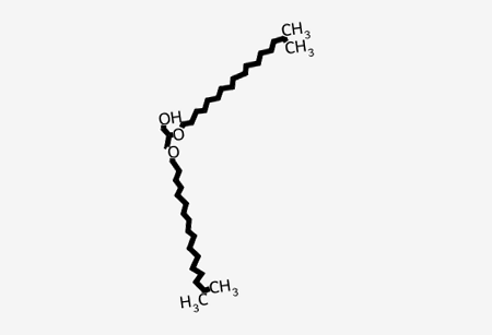 CC(C)CCCCCCCCCCCCCCCOCC(CO)OCCCCCCCCCCCCCCCC(C)C